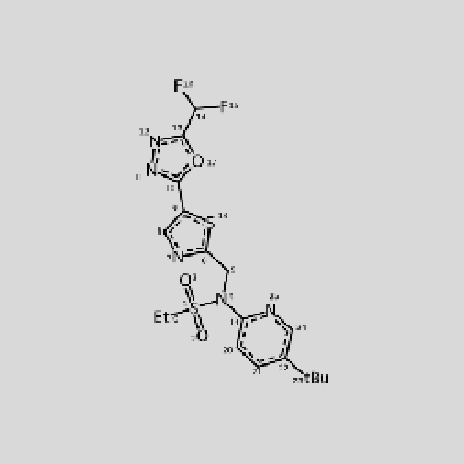 CCS(=O)(=O)N(Cc1ncc(-c2nnc(C(F)F)o2)s1)c1ccc(C(C)(C)C)cn1